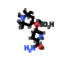 CN1C(C)(C)CC(Oc2ccc(C(N)=O)nc2)CC1(C)C.CS(=O)(=O)O